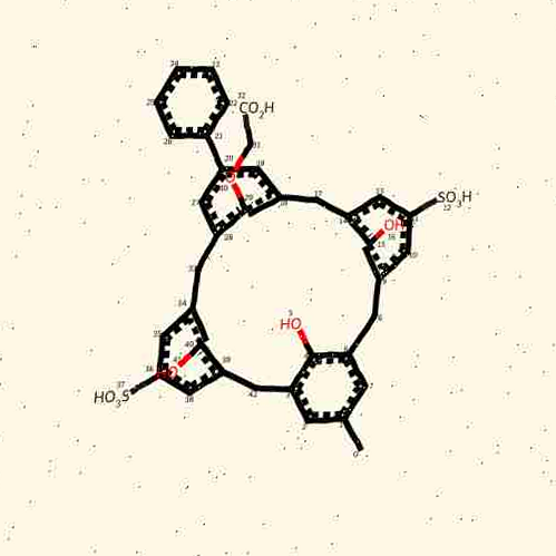 Cc1cc2c(O)c(c1)Cc1cc(S(=O)(=O)O)cc(c1O)Cc1cc(-c3ccccc3)cc(c1OCC(=O)O)Cc1cc(S(=O)(=O)O)cc(c1O)C2